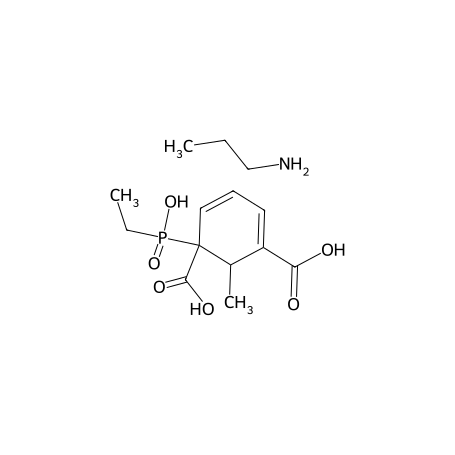 CCCN.CCP(=O)(O)C1(C(=O)O)C=CC=C(C(=O)O)C1C